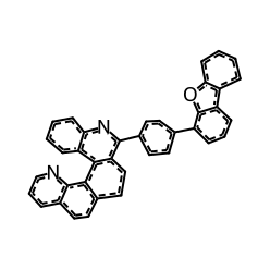 c1cnc2c(c1)ccc1ccc3c(-c4ccc(-c5cccc6c5oc5ccccc56)cc4)nc4ccccc4c3c12